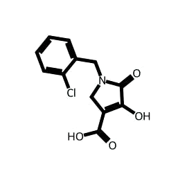 O=C(O)C1=C(O)C(=O)N(Cc2ccccc2Cl)C1